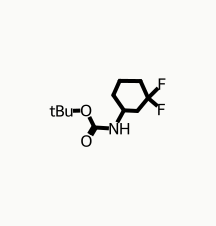 CC(C)(C)OC(=O)NC1CCCC(F)(F)C1